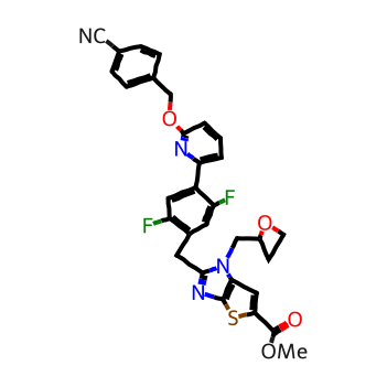 COC(=O)c1cc2c(nc(Cc3cc(F)c(-c4cccc(OCc5ccc(C#N)cc5)n4)cc3F)n2CC2CCO2)s1